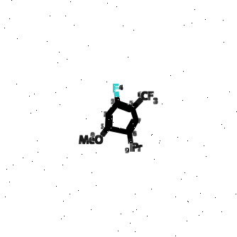 COc1cc(F)c(C(F)(F)F)cc1C(C)C